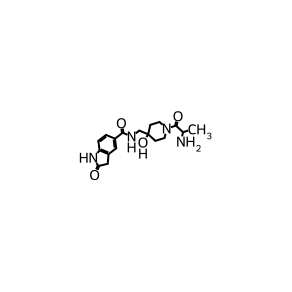 CC(N)C(=O)N1CCC(O)(CNC(=O)c2ccc3c(c2)CC(=O)N3)CC1